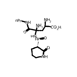 CCCNC(=O)C(N)(CC(N)C(=O)O)N[PH](=O)[C@H]1CCCNC1=O